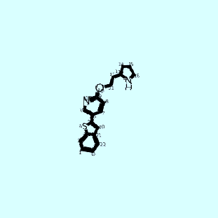 c1ccc2sc(-c3ccc(OCCC4CCCN4)nc3)cc2c1